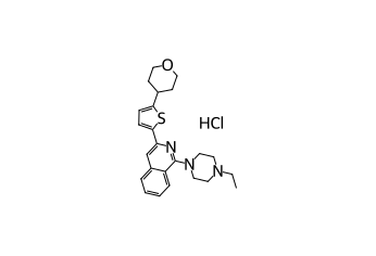 CCN1CCN(c2nc(-c3ccc(C4CCOCC4)s3)cc3ccccc23)CC1.Cl